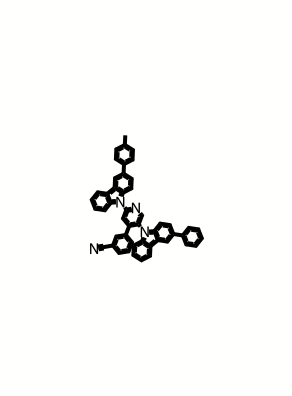 Cc1ccc(-c2ccc3c(c2)c2ccccc2n3-c2cc(-c3cccc(C#N)c3)c(-n3c4ccccc4c4cc(-c5ccccc5)ccc43)cn2)cc1